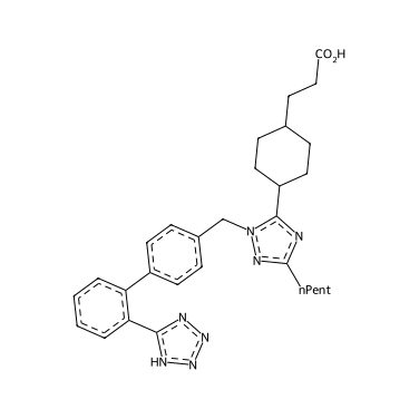 CCCCCc1nc(C2CCC(CCC(=O)O)CC2)n(Cc2ccc(-c3ccccc3-c3nnn[nH]3)cc2)n1